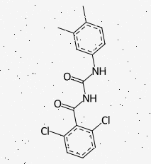 Cc1ccc(NC(=O)NC(=O)c2c(Cl)cccc2Cl)cc1C